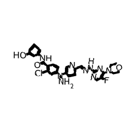 NN(c1ccc(/C=N/Nc2ncc(F)c(N3CCOCC3)n2)nc1)c1ccc(C(=O)Nc2cccc(O)c2)c(Cl)c1